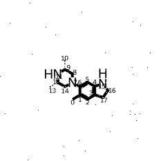 Cc1cc2c(cc1N1C[C@@H](C)N[C@@H](C)C1)NCC2